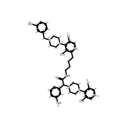 O=C(NCCCCc1ncc(Cl)c(N2CCN(Cc3cccc(O)c3)CC2)c1Cl)C(c1cccc(O)c1)N1CCN(c2c(Cl)cncc2Cl)CC1